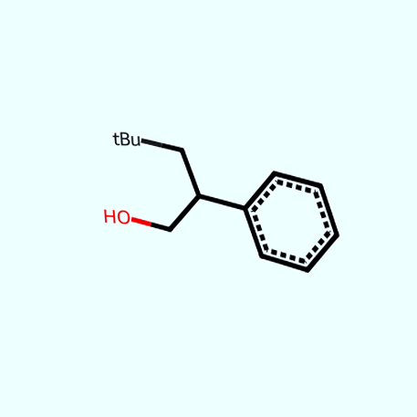 CC(C)(C)CC(CO)c1ccccc1